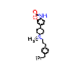 CC(C)Cc1ccc(CCCN(C)C2CCC(c3ccc4[nH]c(=O)oc4c3)CC2)cc1